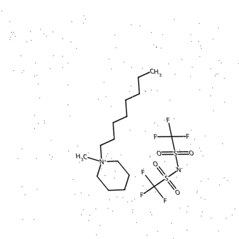 CCCCCCCC[N+]1(C)CCCCC1.O=S(=O)([N-]S(=O)(=O)C(F)(F)F)C(F)(F)F